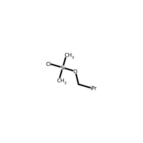 CC(C)CO[Si](C)(C)Cl